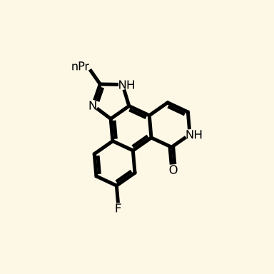 CCCc1nc2c3ccc(F)cc3c3c(=O)[nH]ccc3c2[nH]1